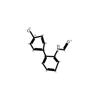 O=CNc1ccccc1-c1ccc(Cl)cc1